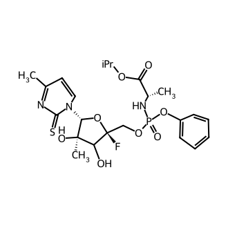 Cc1ccn([C@@H]2O[C@](F)(COP(=O)(N[C@@H](C)C(=O)OC(C)C)Oc3ccccc3)C(O)[C@@]2(C)O)c(=S)n1